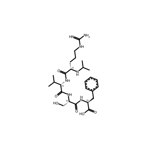 CC(C)N[C@@H](CCCNC(=N)N)C(=O)N[C@H](C(=O)N[C@@H](CO)C(=O)N[C@@H](Cc1ccccc1)C(=O)O)C(C)C